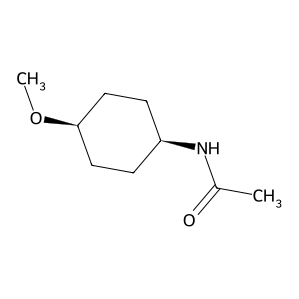 CO[C@H]1CC[C@@H](NC(C)=O)CC1